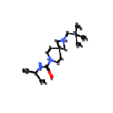 CC(C)NC(=O)N1CCC2(CC1)CN(CC(C)(C)C)C2